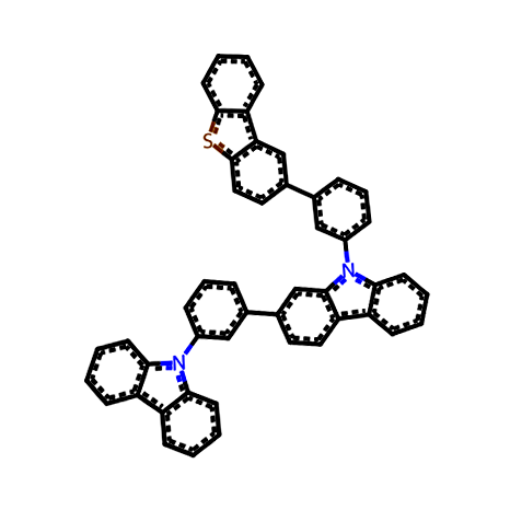 c1cc(-c2ccc3c4ccccc4n(-c4cccc(-c5ccc6sc7ccccc7c6c5)c4)c3c2)cc(-n2c3ccccc3c3ccccc32)c1